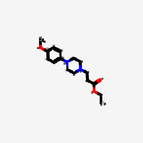 CCOC(=O)CCN1CCN(c2ccc(OC)cc2)CC1